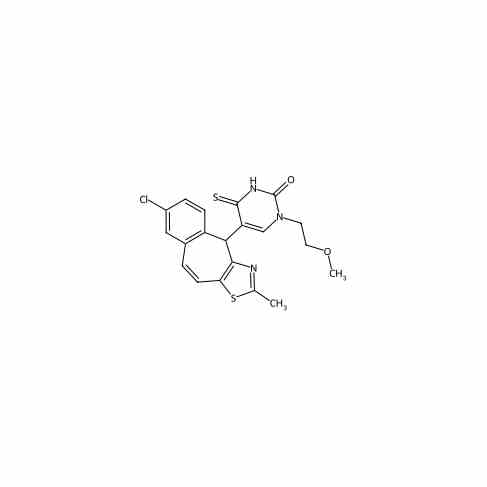 COCCn1cc(C2c3ccc(Cl)cc3C=Cc3sc(C)nc32)c(=S)[nH]c1=O